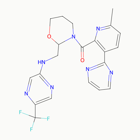 Cc1ccc(-c2ncccn2)c(C(=O)N2CCCOC2CNc2cnc(C(F)(F)F)cn2)n1